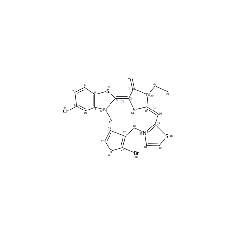 C=C1/C(=C2\Sc3ccc(Cl)cc3N2C)S/C(=C\c2scc[n+]2Cc2ccsc2Br)N1CC